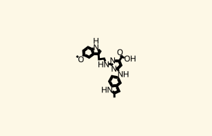 COc1ccc2[nH]cc(CCNc3nc(Nc4ccc5[nH]c(C)cc5c4)cc(C(=O)O)n3)c2c1